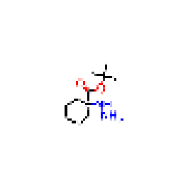 CC(C)(C)OC(=O)C1(NN)CCCCC1